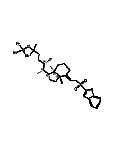 CC[Si](CC)(CC)OC(C)(C)CC[C@H](F)[C@@H](C)[C@H]1CC[C@H]2C(=CCS(=O)(=O)c3nc4ccccc4s3)CCC[C@]12C